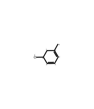 CC1=CC=CC(Cl)C1